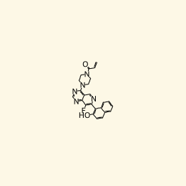 C=CC(=O)N1CCN(c2ncnc3c(F)c(-c4c(O)ccc5ccccc45)ncc23)CC1